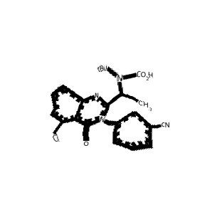 CC(c1nc2cccc(Cl)c2c(=O)n1-c1cccc(C#N)c1)N(C(=O)O)C(C)(C)C